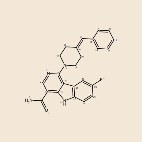 NC(=O)c1cnc(N2CCC(=Cc3ccccc3)CC2)c2c1[nH]c1ccc(F)cc12